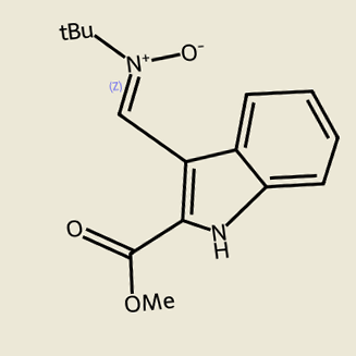 COC(=O)c1[nH]c2ccccc2c1/C=[N+](\[O-])C(C)(C)C